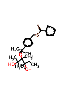 CCC(C)(O)C(C)(O[Si](C)(C)c1ccc(CSC(=S)c2ccccc2)cc1)C(C)(C)O